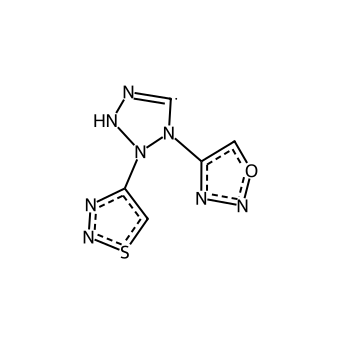 [C]1=NNN(c2csnn2)N1c1conn1